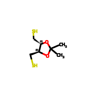 CC1(C)O[C@@H](CS)[C@H](CS)O1